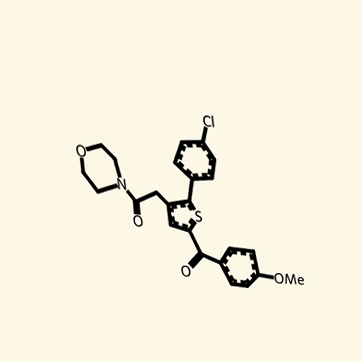 COc1ccc(C(=O)c2cc(CC(=O)N3CCOCC3)c(-c3ccc(Cl)cc3)s2)cc1